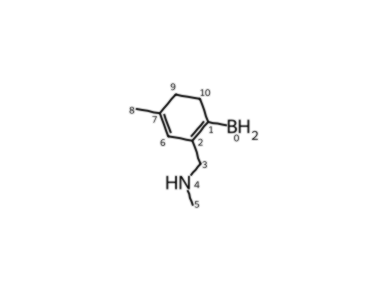 BC1=C(CNC)C=C(C)CC1